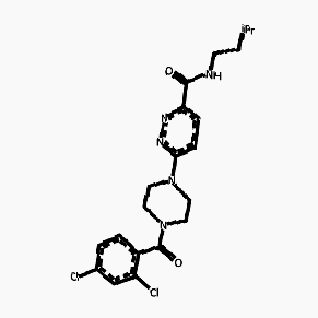 CC(C)CCNC(=O)c1ccc(N2CCN(C(=O)c3ccc(Cl)cc3Cl)CC2)nn1